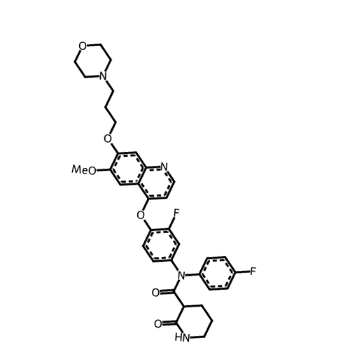 COc1cc2c(Oc3ccc(N(C(=O)C4CCCNC4=O)c4ccc(F)cc4)cc3F)ccnc2cc1OCCCN1CCOCC1